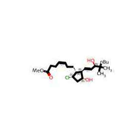 CCCCC(C)(C)[C@H](O)/C=C/[C@@H]1[C@@H](CC/C=C\CCC(=O)OC)[C@@H](Cl)C[C@H]1O